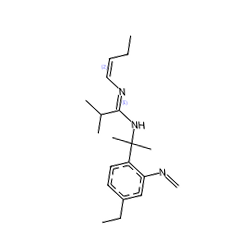 C=Nc1cc(CC)ccc1C(C)(C)N/C(=N/C=C\CC)C(C)C